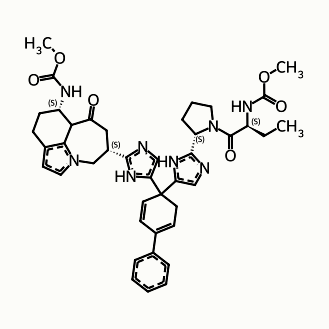 CC[C@H](NC(=O)OC)C(=O)N1CCC[C@H]1c1ncc(C2(c3cnc([C@H]4CC(=O)C5c6c(ccn6C4)CC[C@@H]5NC(=O)OC)[nH]3)C=CC(c3ccccc3)=CC2)[nH]1